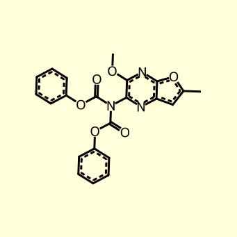 COc1nc2oc(C)cc2nc1N(C(=O)Oc1ccccc1)C(=O)Oc1ccccc1